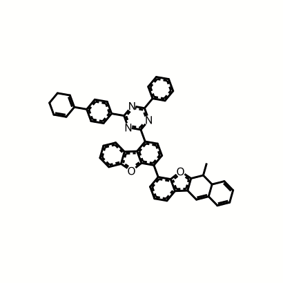 CC1c2oc3c(-c4ccc(-c5nc(-c6ccccc6)nc(-c6ccc(C7=CCCC=C7)cc6)n5)c5c4oc4ccccc45)cccc3c2C=C2C=CC=CC21